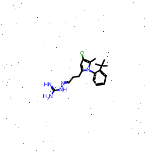 Cc1c(Cl)cc(CCC=NNC(=N)N)n1-c1ccccc1C(C)(C)C